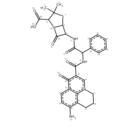 CC1(C)SC2C(NC(=O)C(NC(=O)c3cn4c5c(c(N)ccc5c3=O)CCC4)c3ccccc3)C(=O)N2C1C(=O)O